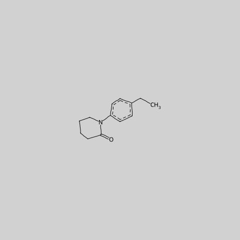 CCc1ccc(N2CCCCC2=O)cc1